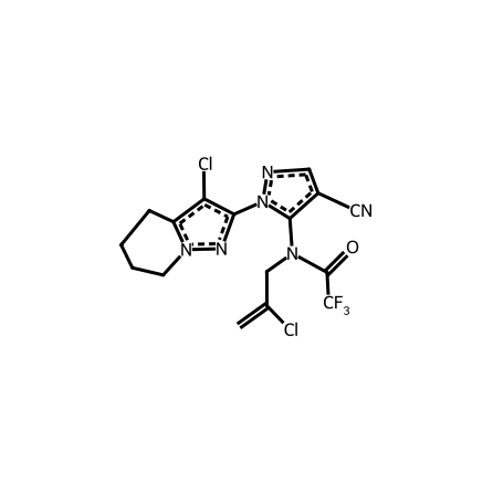 C=C(Cl)CN(C(=O)C(F)(F)F)c1c(C#N)cnn1-c1nn2c(c1Cl)CCCC2